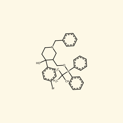 CC(C)(C)[Si](OCC1CN(Cc2ccccc2)CCC1(O)c1ccc(Br)cc1)(c1ccccc1)c1ccccc1